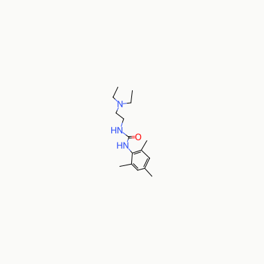 CCN(CC)CCNC(=O)Nc1c(C)cc(C)cc1C